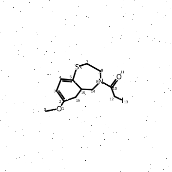 COC1=CC=C2SCCN(C(=O)CI)CC2C1